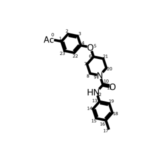 CC(=O)c1ccc(OC2CCN(C(=O)Nc3ccc(C)cc3)CC2)cc1